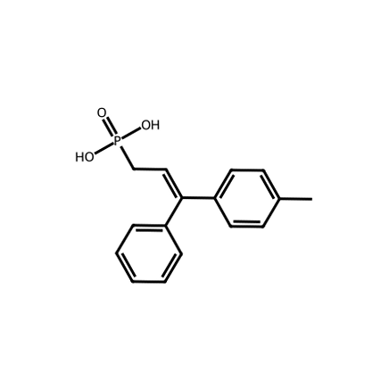 Cc1ccc(C(=CCP(=O)(O)O)c2ccccc2)cc1